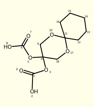 O=C(O)OC1(OC(=O)O)COC2(CCCCC2)OC1